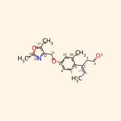 C/C=C(/CC=O)c1ccc(OCc2nc(C)oc2C)cc1C